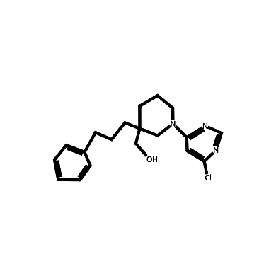 OCC1(CCCc2ccccc2)CCCN(c2cc(Cl)ncn2)C1